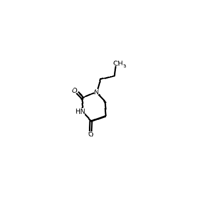 CCCN1CCC(=O)NC1=O